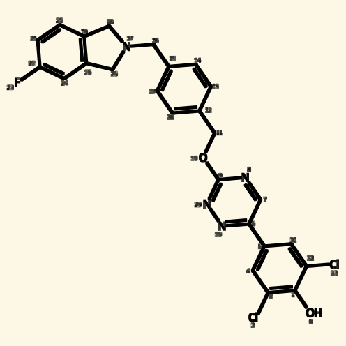 Oc1c(Cl)cc(-c2cnc(OCc3ccc(CN4Cc5ccc(F)cc5C4)cc3)nn2)cc1Cl